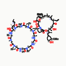 C/C=C/C[C@@H](C)[C@@H](O)[C@H]1C(=O)N[C@@H](CC)C(=O)N(C)CC(=O)N(C)[C@@H](CC(C)C)C(=O)N[C@@H](C(C)C)C(=O)N(C)[C@@H](CC(C)C)C(=O)N[C@@H](C)C(=O)N[C@H](C)C(=O)N(C)[C@@H](CC(C)C)C(=O)N(C)[C@@H](CC(C)C)C(=O)N(C)[C@@H](C(C)C)C(=O)N1C.C=CC[C@@H]1/C=C(\C)C[C@H](C)C[C@H](OC)[C@H]2O[C@@](O)(C(=O)C(=O)N3CCCC[C@H]3C(=O)O[C@H](/C(C)=C/[C@@H]3CC[C@@H](O)[C@H](OC)C3)[C@H](C)[C@@H](O)CC1=O)[C@H](C)C[C@@H]2OC